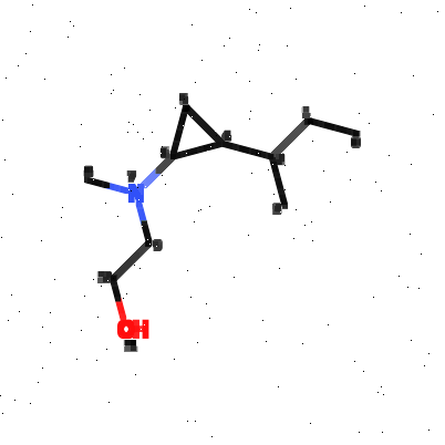 CCC(C)C1CC1N(C)CCO